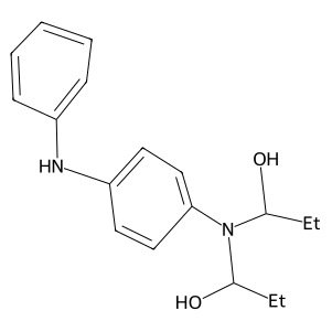 CCC(O)N(c1ccc(Nc2ccccc2)cc1)C(O)CC